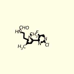 Cc1cc(-c2nc(Cl)ncc2F)n(C)c1CCNC=O